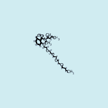 C=CCCOCCOCCOCCOCCOc1cccc(C=O)c1C(=O)N(C)C(C)CCC